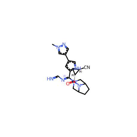 Cn1cc(-c2c[nH]c(/C(=N\C=N)N3CC4CCC(C3)N4C(=O)[C@@H]3C[C@H]3C#N)c2)cn1